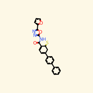 O=C(Nc1nnc(-c2ccco2)o1)C1=CC=C(c2ccc(-c3ccccc3)cc2)CC1=S